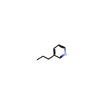 CCCc1c[c]cnc1